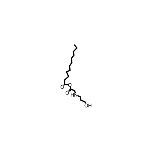 CCCCCCCCCCCC(=O)OC(=O)CNCCCO